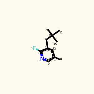 Cc1cnc(F)c(CC(C)(C)C)c1